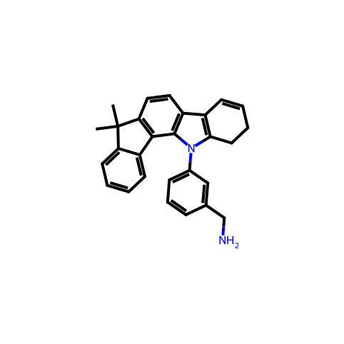 CC1(C)c2ccccc2-c2c1ccc1c3c(n(-c4cccc(CN)c4)c21)CCC=C3